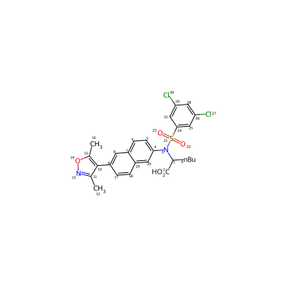 CCCCC(C(=O)O)N(c1ccc2cc(-c3c(C)noc3C)ccc2c1)S(=O)(=O)c1cc(Cl)cc(Cl)c1